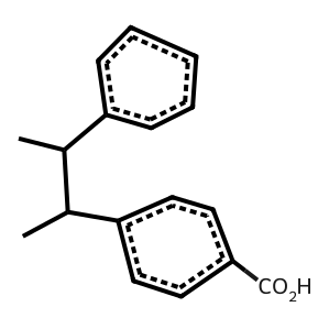 CC(c1ccccc1)C(C)c1ccc(C(=O)O)cc1